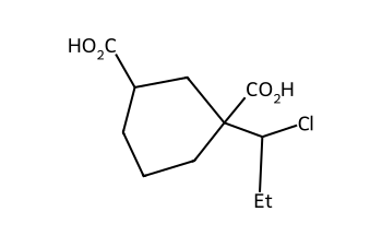 CCC(Cl)C1(C(=O)O)CCCC(C(=O)O)C1